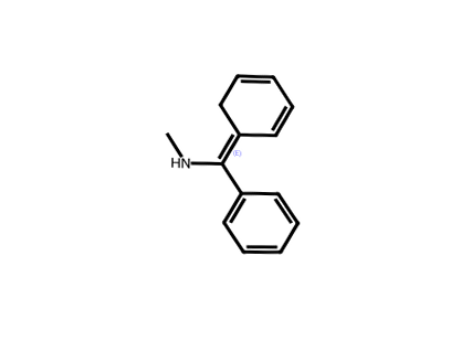 CN/C(=C1/C=CC=CC1)c1ccccc1